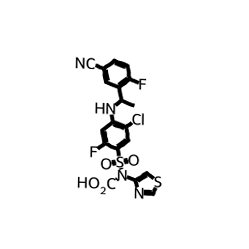 CC(Nc1cc(F)c(S(=O)(=O)N(C(=O)O)c2cscn2)cc1Cl)c1cc(C#N)ccc1F